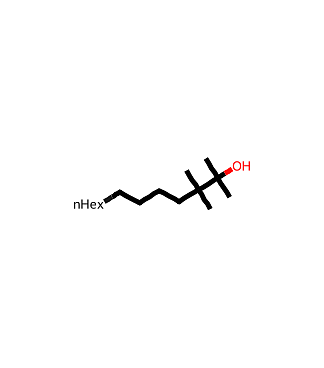 CCCCCCCCCCC(C)(C)C(C)(C)O